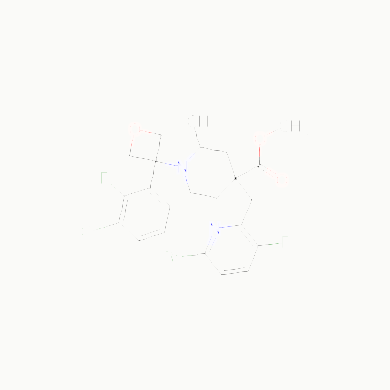 COC(=O)C1(Cc2nc(Br)ccc2F)CCN(C2(c3cccc(Cl)c3F)COC2)C(C)C1